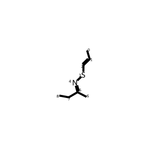 C/C=C/S/N=C(\C)CC